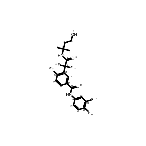 CC(C)(CCO)NC(=O)C(F)(F)c1cc(C(=O)Nc2ccc(F)c(F)c2)ccc1F